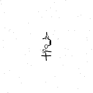 CN(C)/C=C\O[Si](C)(C)C(C)(C)C